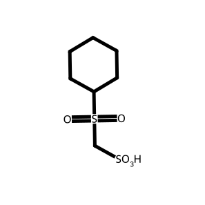 O=S(=O)(O)CS(=O)(=O)C1CCCCC1